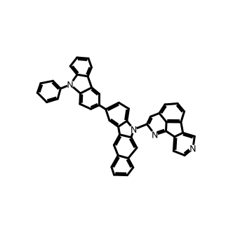 c1ccc(-n2c3ccccc3c3cc(-c4ccc5c(c4)c4cc6ccccc6cc4n5-c4cc5cccc6c5c(n4)-c4ccncc4-6)ccc32)cc1